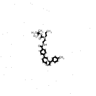 CCCN(CCNC(=O)c1ccc(-c2ccc3ncc(-c4ccc(C)cc4)n3c2)cc1)C(=O)OC(C)(C)C